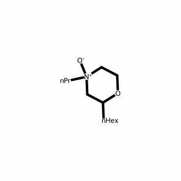 CCCCCCC1C[N+]([O-])(CCC)CCO1